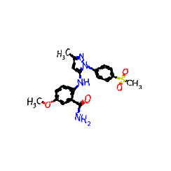 COc1ccc(Nc2cc(C)nn2-c2ccc(S(C)(=O)=O)cc2)c(C(N)=O)c1